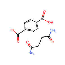 NC(=O)CCC(N)=O.O=C(O)c1ccc(C(=O)O)cc1